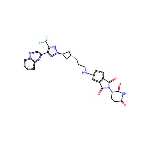 O=C1CCC(N2C(=O)c3ccc(NCCC[C@H]4C[C@H](n5cc(-c6cnc7ccccc7n6)c(C(F)F)n5)C4)cc3C2=O)C(=O)N1